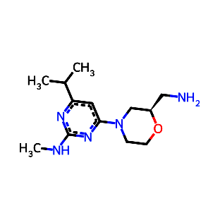 CNc1nc(C(C)C)cc(N2CCO[C@H](CN)C2)n1